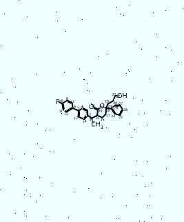 C[C@H](c1ccc(-c2ccc(F)cc2)cc1)C1CCC(CCCO)(c2ccccc2)OC1=O